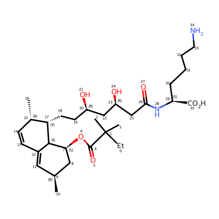 CCC(C)(C)C(=O)O[C@H]1C[C@@H](C)C=C2C=C[C@H](C)[C@H](CC[C@@H](O)C[C@@H](O)CC(=O)N[C@@H](CCCCN)C(=O)O)C21